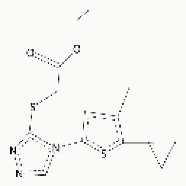 CCOC(=O)CSc1nncn1-c1cc(C)c(C2CC2)s1